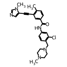 Cc1ccc(C(=O)Nc2ccc(CN3CCN(C)CC3)c(Cl)c2)cc1C#Cc1cncn1C